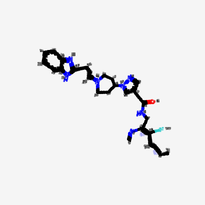 C=N/C(CNC(=O)c1cnn(C2CCN(CCc3nc4ccccc4[nH]3)CC2)c1)=C(F)\C=C/C